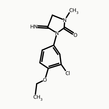 CCOc1ccc(N2C(=N)CN(C)C2=O)cc1Cl